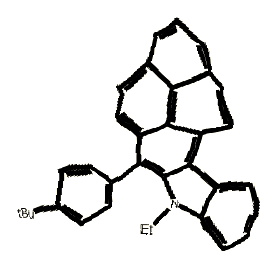 CCn1c2ccccc2c2c3ccc4cccc5ccc(c(-c6ccc(C(C)(C)C)cc6)c21)c3c54